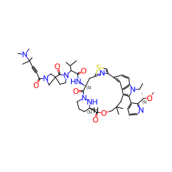 CCn1c(-c2cccnc2[C@H](C)OC)c2c3cc(ccc31)-c1csc(n1)C[C@H](NC(=O)C(C(C)C)N1CCC3(CN(C(=O)C#CC(C)(C)N(C)C)C3)C1=O)C(=O)N1CCC[C@H](N1)C(=O)OCC(C)(C)C2